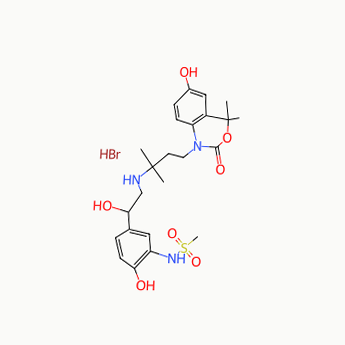 Br.CC(C)(CCN1C(=O)OC(C)(C)c2cc(O)ccc21)NCC(O)c1ccc(O)c(NS(C)(=O)=O)c1